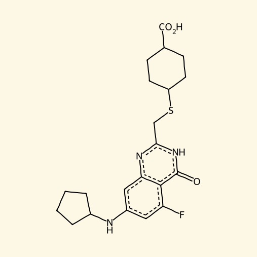 O=C(O)C1CCC(SCc2nc3cc(NC4CCCC4)cc(F)c3c(=O)[nH]2)CC1